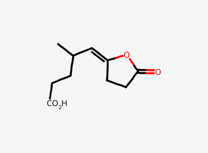 CC(/C=C1\CCC(=O)O1)CCC(=O)O